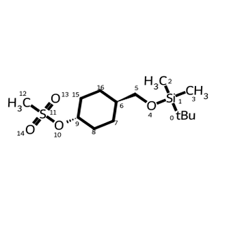 CC(C)(C)[Si](C)(C)OC[C@H]1CC[C@H](OS(C)(=O)=O)CC1